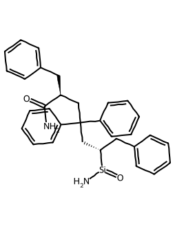 NC(=O)[C@@H](Cc1ccccc1)CC(C[C@H](Cc1ccccc1)[Si](N)=O)(c1ccccc1)c1ccccc1